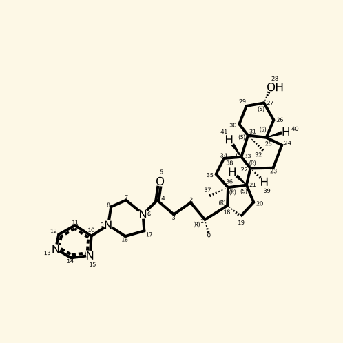 C[C@H](CCC(=O)N1CCN(c2ccncn2)CC1)[C@H]1CC[C@H]2[C@@H]3CC[C@H]4C[C@@H](O)CC[C@]4(C)[C@H]3CC[C@]12C